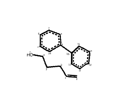 C=CCCCO.c1ccc(-c2ccccc2)cc1